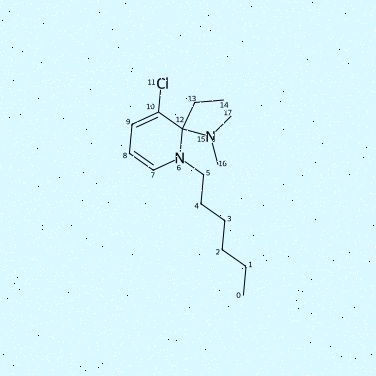 CCCCCCN1C=CC=C(Cl)C1(CC)N(C)C